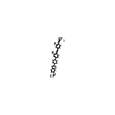 CCOc1ccc2cc(C3CCC(c4ccc(C#Cc5ccc(C#CC(F)(F)F)c(F)c5)c(F)c4)CC3)sc2c1